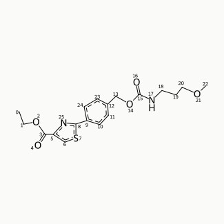 CCOC(=O)c1csc(-c2ccc(COC(=O)NCCCOC)cc2)n1